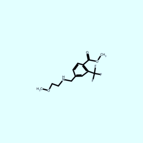 COCCNCc1ccc(C(=O)OC)c(C(F)(F)F)c1